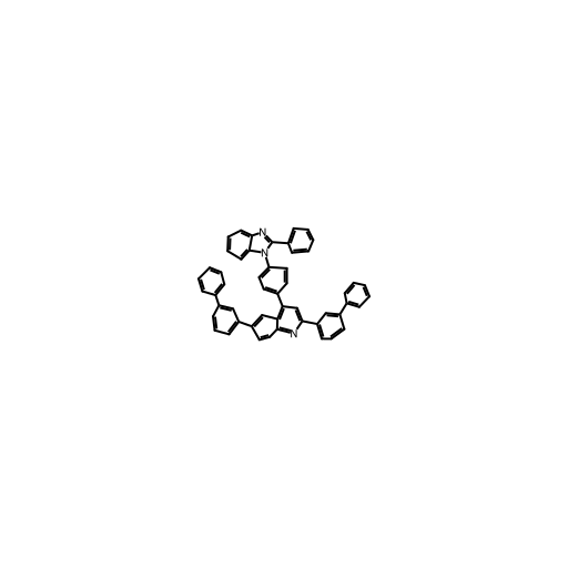 c1ccc(-c2cccc(-c3ccc4nc(-c5cccc(-c6ccccc6)c5)cc(-c5ccc(-n6c(-c7ccccc7)nc7ccccc76)cc5)c4c3)c2)cc1